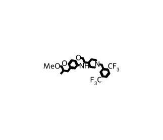 COC(=O)C(C)Cc1ccc2c(c1)NC(C1CCN(Cc3cc(C(F)(F)F)ccc3C(F)(F)F)CC1)CO2